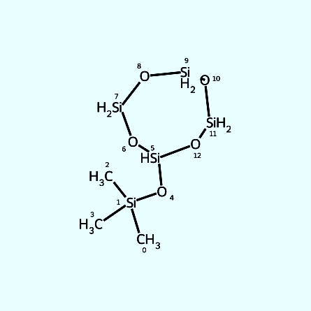 C[Si](C)(C)O[SiH]1O[SiH2]O[SiH2]O[SiH2]O1